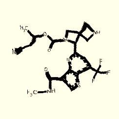 CNC(=O)c1csc2c(C(F)(F)F)cc(C3N(C(=O)OC(C)CC#N)CC34CNC4)nc12